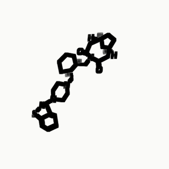 O=C1C[C@H]2CC[C@@H](CC(=O)N1C[C@@H]1CCCC[C@H]1CN1CCN(c3nsc4ccccc34)CC1)C2